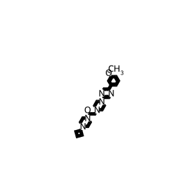 COc1cccc(-c2cnc(N3CCN(CC(=O)N4CCN(C5CCC5)CC4)CC3)cn2)c1